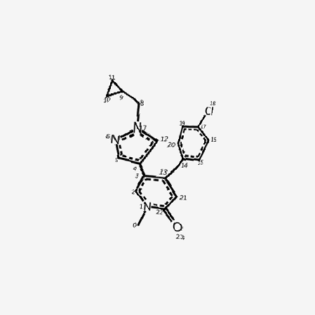 Cn1cc(-c2cnn(CC3CC3)c2)c(-c2ccc(Cl)cc2)cc1=O